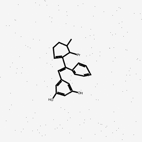 CC(C)C1C(C(=Cc2cc(O)cc(O)c2)c2ccccc2)=CCCC1C